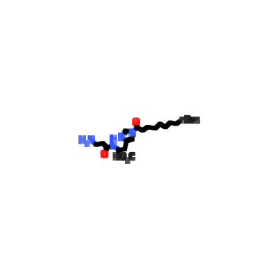 CCCCCCCCCCCCCCCCCC(=O)n1cnc(CC(NC(=O)CCN)C(=O)O)c1